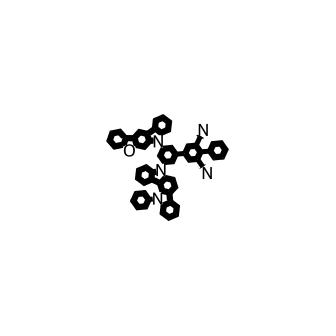 N#Cc1cc(-c2cc(-n3c4ccccc4c4cc5c(cc43)oc3ccccc35)cc(-n3c4ccccc4c4c3ccc3c5ccccc5n(-c5ccccc5)c34)c2)cc(C#N)c1-c1ccccc1